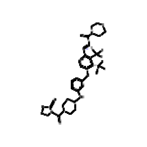 O=C(/C=C/c1ccc(Sc2cccc(NC3CCN(C(=O)N4CCNC4=O)CC3)c2)c(C(F)(F)F)c1C(F)(F)F)N1CCOCC1